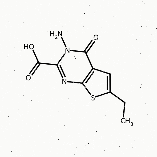 CCc1cc2c(=O)n(N)c(C(=O)O)nc2s1